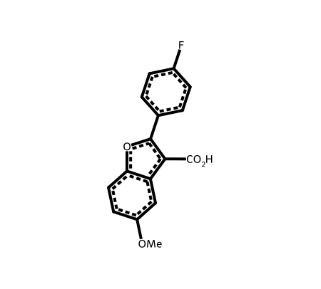 COc1ccc2oc(-c3ccc(F)cc3)c(C(=O)O)c2c1